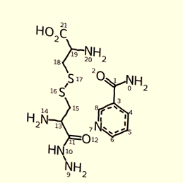 NC(=O)c1cccnc1.NNC(=O)C(N)CSSCC(N)C(=O)O